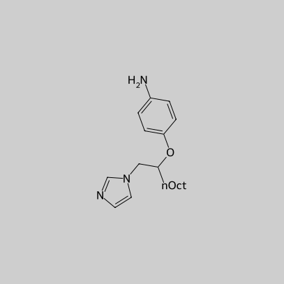 CCCCCCCCC(Cn1ccnc1)Oc1ccc(N)cc1